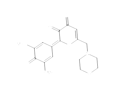 COC1=CC(=C2OC(CN3CCOCC3)=CC(=O)C2=O)C=C(OC)C1=O